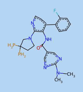 CN(C)c1ncc(C(=O)Nc2c(-c3ccccc3F)ccnc2N2CCC(P)(P)C2)cn1